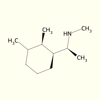 CN[C@@H](C)[C@H]1CCCC(C)[C@H]1C